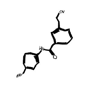 N#CCc1cccc(C(=O)Nc2ccc(Br)cc2)c1